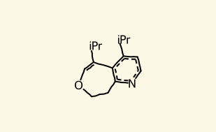 CC(C)C1=COCCc2nccc(C(C)C)c21